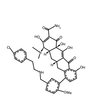 COc1ccc(CNCCc2ccc(Cl)cc2)cc1-c1ccc(O)c2c1C[C@@H]1C[C@@H]3[C@@H](N(C)C)C(O)=C(C(N)=O)C(=O)[C@]3(O)C(O)=C1C2=O